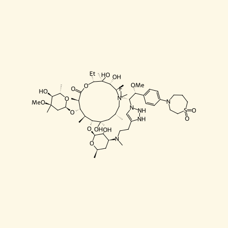 CC[C@H]1OC(=O)[C@H](C)[C@@H](O[C@H]2C[C@@](C)(OC)[C@@H](O)[C@H](C)O2)[C@H](C)[C@@H](O[C@@H]2O[C@H](C)C[C@H](N(C)CCC3=CN([C@H](CF)[C@H](OC)c4ccc(N5CCCS(=O)(=O)CC5)cc4)NN3)[C@H]2O)[C@](C)(O)C[C@@H](C)CN(C)[C@H](C)[C@@H](O)[C@]1(C)O